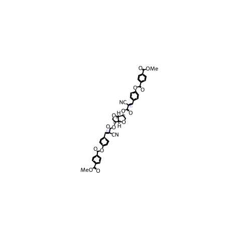 COC(=O)c1ccc(C(=O)Oc2ccc(/C=C(\C#N)C(=O)O[C@H]3CO[C@H]4[C@@H]3OC[C@H]4OC(=O)/C(C#N)=C/c3ccc(OC(=O)c4ccc(C(=O)OC)cc4)cc3)cc2)cc1